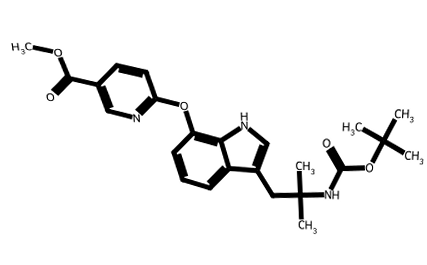 COC(=O)c1ccc(Oc2cccc3c(CC(C)(C)NC(=O)OC(C)(C)C)c[nH]c23)nc1